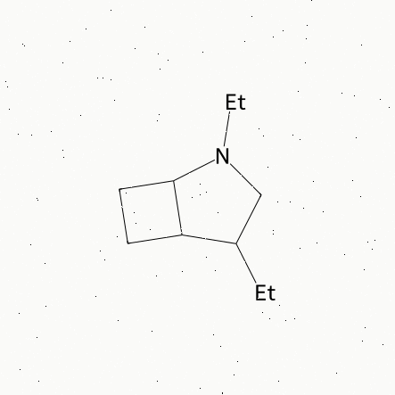 CCC1CN(CC)C2CCC12